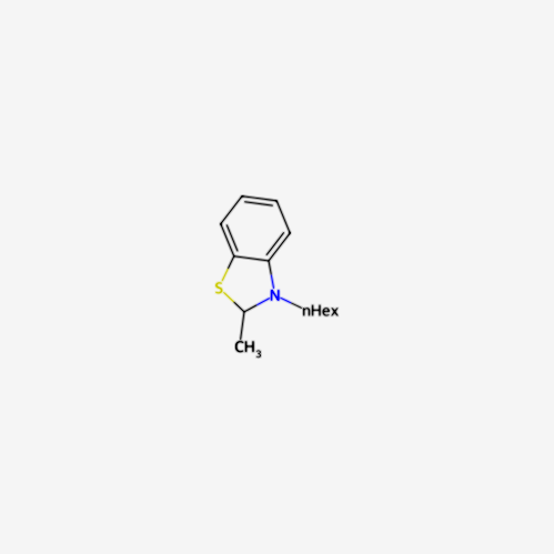 CCCCCCN1c2ccccc2SC1C